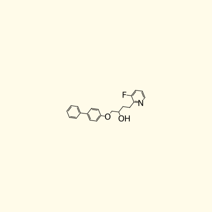 OC(CCc1ncccc1F)COc1ccc(-c2ccccc2)cc1